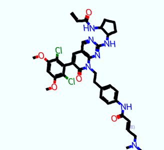 C=CC(=O)NC1CCCC1Nc1ncc2cc(-c3c(Cl)c(OC)cc(OC)c3Cl)c(=O)n(CCc3ccc(NC(=O)/C=C/CN(C)C)cc3)c2n1